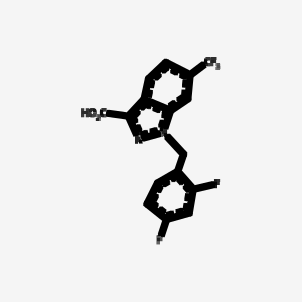 O=C(O)c1nn(Cc2ccc(F)cc2F)c2cc(C(F)(F)F)ccc12